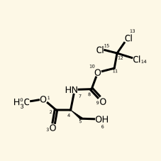 COC(=O)[C@H](CO)NC(=O)OCC(Cl)(Cl)Cl